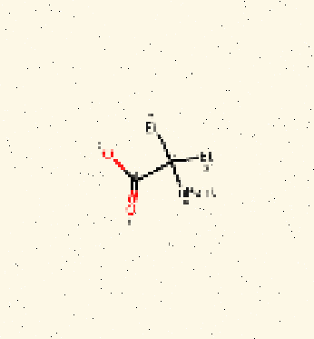 CCCCCC(CC)(CC)C([O])=O